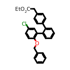 CCOC(=O)Cc1ccc(-c2ccccc2-c2cc(Cl)ccc2OCc2ccccc2)cc1